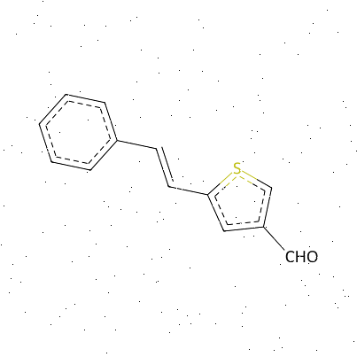 O=Cc1csc(C=Cc2ccccc2)c1